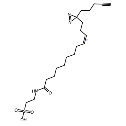 C#CCCCC1(CC/C=C\CCCCCCCC(=O)NCCS(=O)(=O)O)N=N1